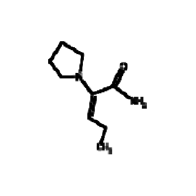 CCC=C(C(N)=O)N1CCCC1